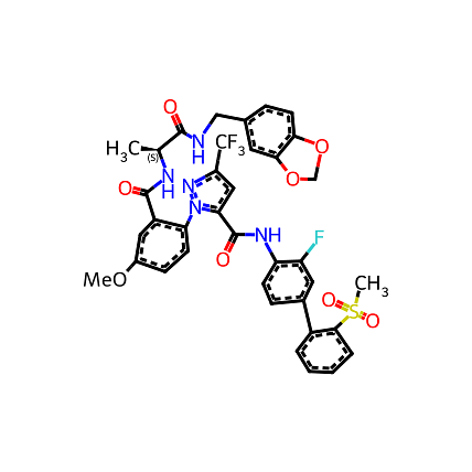 COc1ccc(-n2nc(C(F)(F)F)cc2C(=O)Nc2ccc(-c3ccccc3S(C)(=O)=O)cc2F)c(C(=O)N[C@@H](C)C(=O)NCc2ccc3c(c2)OCO3)c1